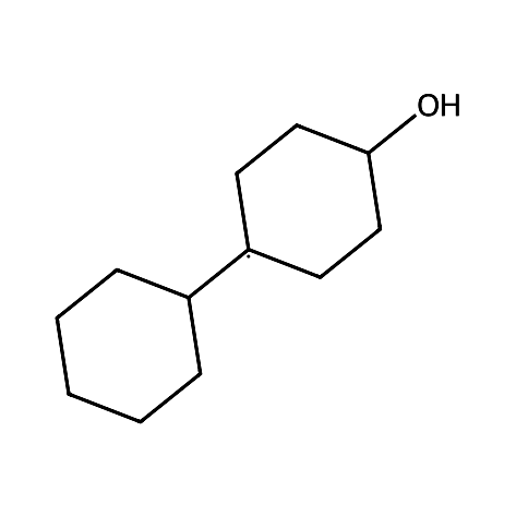 OC1CC[C](C2CCCCC2)CC1